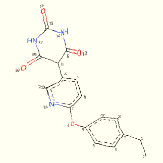 CCc1ccc(Oc2ccc(C3C(=O)NC(=O)NC3=O)cn2)cc1